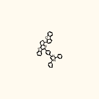 C1=Cc2c(nc(-c3ccc(-c4cc(-c5ccccc5)nc(-c5ccccc5)n4)cc3)c3c2sc2ccccc23)C(c2cccc3c2oc2ccccc23)C1